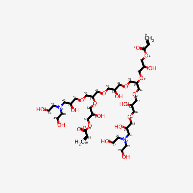 C=CC(=O)OCC(O)COC(COCC(O)COCC(O)CN(CCO)CCO)COCC(O)COCC(COCC(O)CN(CCO)CCO)OCC(O)COC(=O)C=C